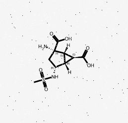 CS(=O)(=O)N[C@@H]1C[C@@](N)(C(=O)O)[C@@H]2[C@@H](C(=O)O)[C@@H]21